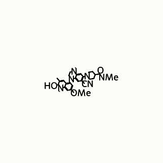 CNC(=O)C1CCN(c2cc3c(cc2C#N)N(c2cc(OC)cc4c2C=C(C)C(O)N4C)CCN3C)CC1